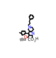 Cc1ccc(-c2c3c(nc(C)c2C(OC(C)(C)C)C(=O)O)CCN(CCCc2ccccc2)C3)cc1